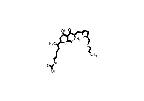 CCCOCc1ccc(/C=C(\C)C(=O)c2c(O)cc(C(C)CC/C=C/NC(=O)O)oc2=O)s1